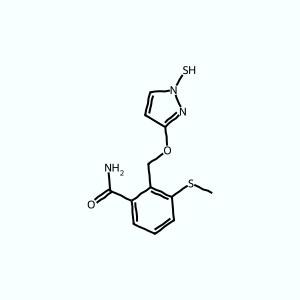 CSc1cccc(C(N)=O)c1COc1ccn(S)n1